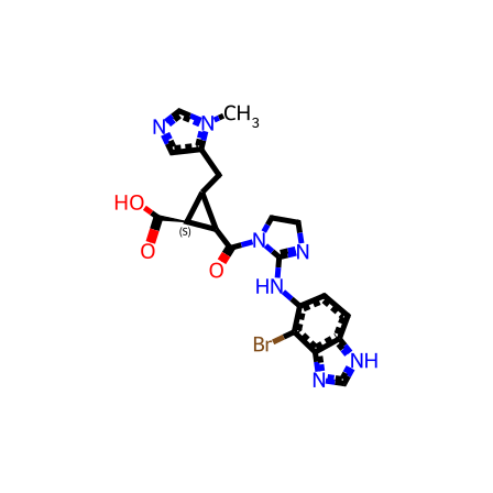 Cn1cncc1CC1C(C(=O)N2CCN=C2Nc2ccc3[nH]cnc3c2Br)[C@H]1C(=O)O